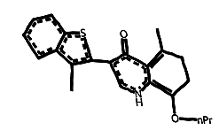 CCCOC1=c2[nH]cc(-c3sc4ccccc4c3C)c(=O)c2=C(C)CC1